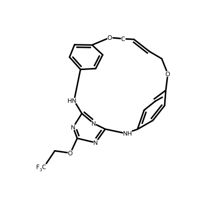 FC(F)(F)COc1nc2nc(n1)Nc1ccc(cc1)OCC=CCOc1ccc(cc1)N2